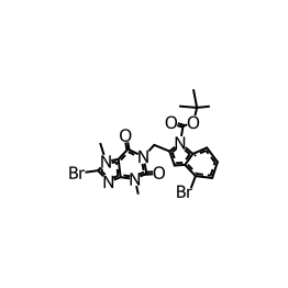 Cn1c(Br)nc2c1c(=O)n(Cc1cc3c(Br)cccc3n1C(=O)OC(C)(C)C)c(=O)n2C